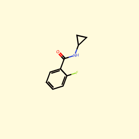 O=C(NC1CC1)c1c[c]ccc1F